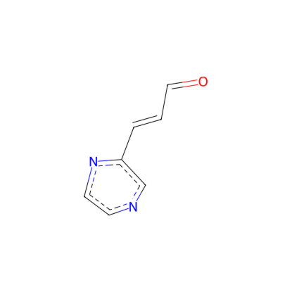 O=CC=Cc1cnccn1